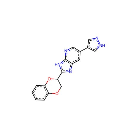 c1ccc2c(c1)OCC(c1nc3cc(-c4cn[nH]c4)cnc3[nH]1)O2